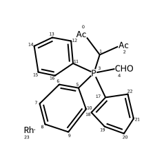 CC(=O)C(C(C)=O)P(C=O)(c1ccccc1)(c1ccccc1)c1ccccc1.[Rh]